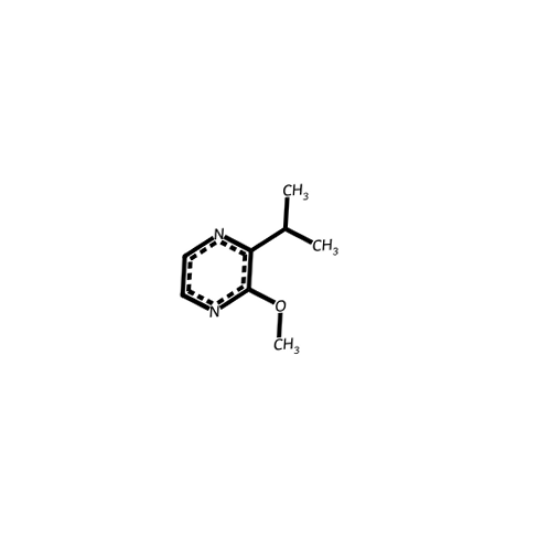 COc1nccnc1C(C)C